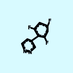 Fc1cc(F)c(-c2ccnnc2)c(F)c1